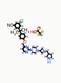 CC(C)(c1ccc(OCc2ccnc(N3CCN(C4CN(CC5CCNC5)C4)CC3)n2)cc1)c1cc(Cl)cc(C#N)c1.O=C(O)C(F)(F)F